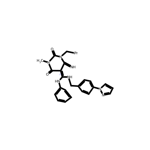 CC(C)CN1C(=N)/C(=C(\NCc2ccc(-n3cccn3)cc2)Nc2ccccc2)C(=O)N(C)C1=O